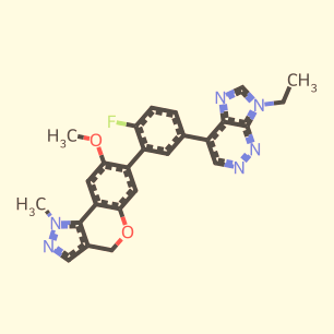 CCn1cnc2c(-c3ccc(F)c(-c4cc5c(cc4OC)-c4c(cnn4C)CO5)c3)cnnc21